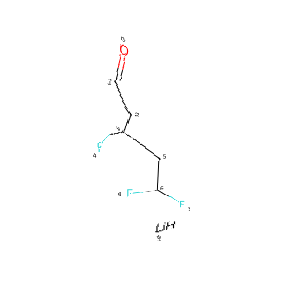 O=CCC(F)CC(F)F.[LiH]